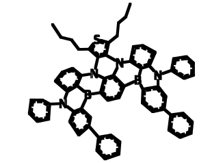 CCCCc1sc(CCCC)c2c1N1c3cccc4c3B(c3cc(-c5ccccc5)ccc3N4c3ccccc3)c3ccc4c(c31)N2c1cccc2c1B4c1ccc(-c3ccccc3)cc1N2c1ccccc1